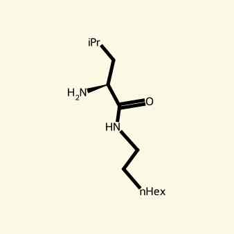 CCCCCCCCNC(=O)[C@@H](N)CC(C)C